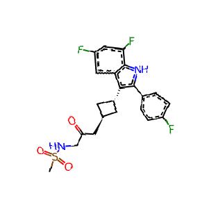 CS(=O)(=O)NCC(=O)C[C@H]1C[C@H](c2c(-c3ccc(F)cc3)[nH]c3c(F)cc(F)cc32)C1